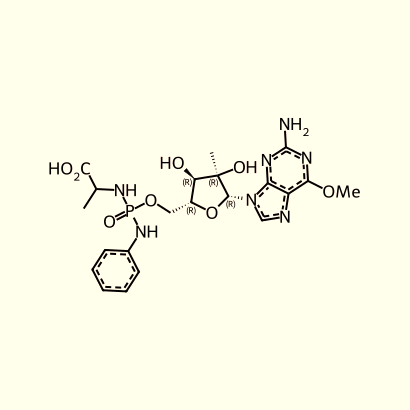 COc1nc(N)nc2c1ncn2[C@@H]1O[C@H](COP(=O)(Nc2ccccc2)NC(C)C(=O)O)[C@@H](O)[C@@]1(C)O